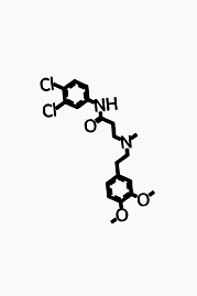 COc1ccc(CCN(C)CCC(=O)Nc2ccc(Cl)c(Cl)c2)cc1OC